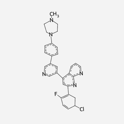 CN1CCN(c2ccc(-c3cncc(-c4cc(C5=C(F)C=CC(Cl)C5)nc5ncccc45)c3)cc2)CC1